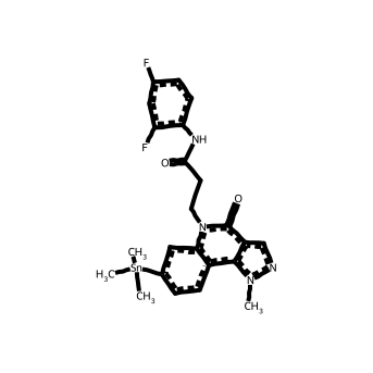 Cn1ncc2c(=O)n(CCC(=O)Nc3ccc(F)cc3F)c3c[c]([Sn]([CH3])([CH3])[CH3])ccc3c21